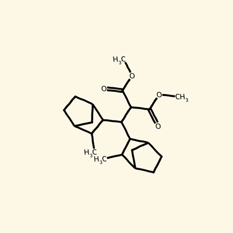 COC(=O)C(C(=O)OC)C(C1C2CCC(C2)C1C)C1C2CCC(C2)C1C